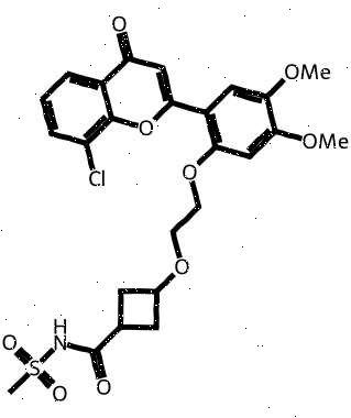 COc1cc(OCCOC2CC(C(=O)NS(C)(=O)=O)C2)c(-c2cc(=O)c3cccc(Cl)c3o2)cc1OC